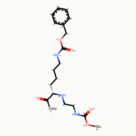 COC(=O)[C@H](CCCCNC(=O)OCc1ccccc1)NCCNC(=O)OC(C)(C)C